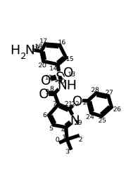 CC(C)(C)c1ccc(C(=O)NS(=O)(=O)c2cccc(N)c2)c(Oc2ccccc2)n1